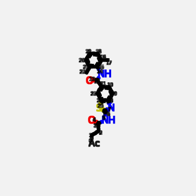 CC(=O)CCC(=O)Nc1nc2ccc(C(=O)Nc3c(C)cccc3C)cc2s1